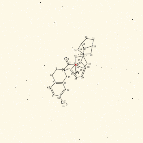 CC(C)C1(C(=O)N2CCc3ncc(C(F)(F)F)cc3C2)CCC(N2C3CCC2CC(c2ccccc2)C3)C1